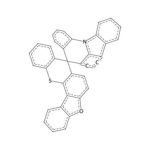 c1ccc2c(c1)Sc1c(ccc3oc4ccccc4c13)C21c2ccccc2-n2c3ccccc3c3cccc1c32